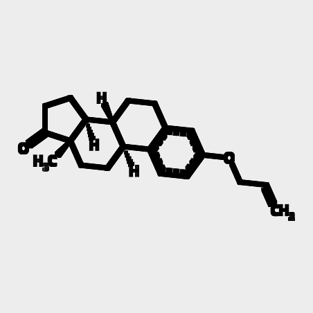 C=CCOc1ccc2c(c1)CC[C@@H]1[C@@H]2CC[C@]2(C)C(=O)CC[C@@H]12